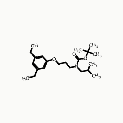 CC(C)CN(CCCOc1cc(CO)cc(CO)c1)C(=O)OC(C)(C)C